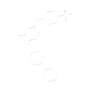 CCc1cnc(N2CCC(Oc3ccc(CN4CCN(S(C)(=O)=O)CC4)cc3OC(F)(F)F)CC2)nc1